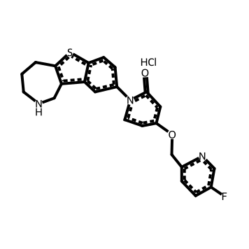 Cl.O=c1cc(OCc2ccc(F)cn2)ccn1-c1ccc2sc3c(c2c1)CNCCC3